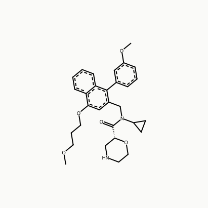 COCCCOc1cc(CN(C(=O)[C@H]2CNCCO2)C2CC2)c(-c2cccc(OC)c2)c2ccccc12